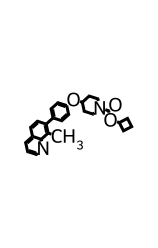 Cc1c(-c2ccc(OC3CCN(C(=O)OC4CCC4)CC3)cc2)ccc2cccnc12